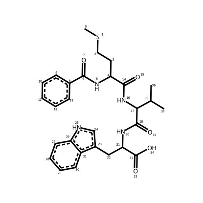 CSCCC(NC(=O)c1ccccc1)C(=O)NC(C(=O)NC(Cc1c[nH]c2ccccc12)C(=O)O)C(C)C